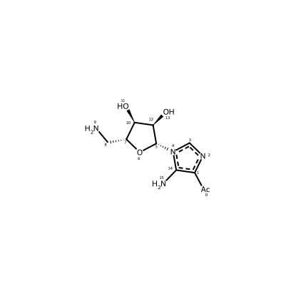 CC(=O)c1ncn([C@@H]2O[C@H](CN)[C@@H](O)[C@H]2O)c1N